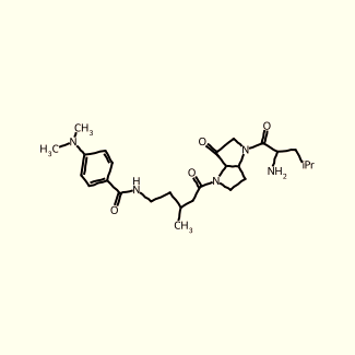 CC(C)CC(N)C(=O)N1CC(=O)C2C1CCN2C(=O)CC(C)CCNC(=O)c1ccc(N(C)C)cc1